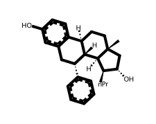 CCC[C@H]1[C@H]2[C@H]3[C@H](CC[C@]2(C)C[C@@H]1O)c1ccc(O)cc1C[C@H]3c1ccccc1